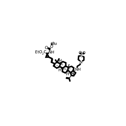 C=C(C)[C@@H]1CC[C@]2(NCCN3CCS(=O)(=O)CC3)CC[C@]3(C)[C@H](CC[C@@H]4[C@@]5(C)CC=C(C=CC6CC6(NC(=O)OC(C)(C)C)C(=O)OCC)C(C)(C)[C@@H]5CC[C@]43C)[C@@H]12